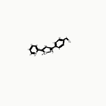 O=Cc1ccc(C2=NOC(c3ccccn3)C2)cc1